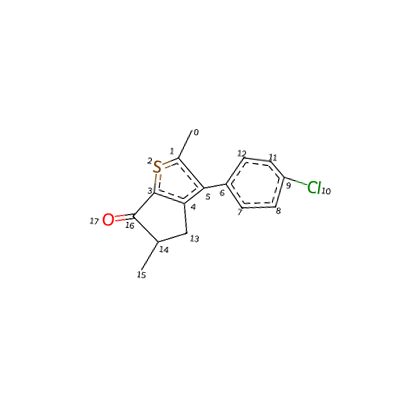 Cc1sc2c(c1-c1ccc(Cl)cc1)CC(C)C2=O